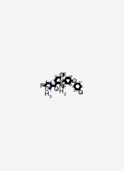 C/C=C(\C=C/CF)C(=O)c1ccc(=O)n(-c2c(F)cc(OC3CCC(=O)CC3)cc2F)c1N